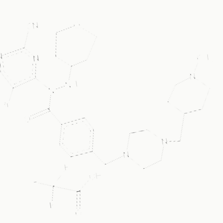 CN1CCC(CN2CCN(Cc3ccc(C(=O)N(NC4CCOCC4)c4nc(C#N)ncc4Br)cc3)CC2)CC1.O=C(O)C(F)(F)F